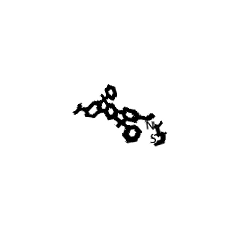 C=C(C)C1=CC2=C(CC1)c1cc3c(cc1C2(C)c1ccccc1)-c1ccc(C(=C)/N=C(\C)c2cccs2)cc1C3(C)c1ccccc1